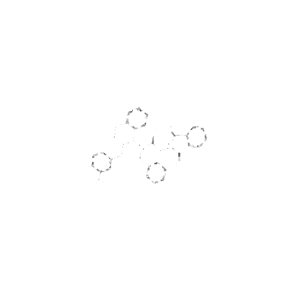 Cc1cccc(CC2CCc3ccccc3C2N(Cc2ccccc2)C(=O)CN2C(=O)c3ccccc3C2=O)c1